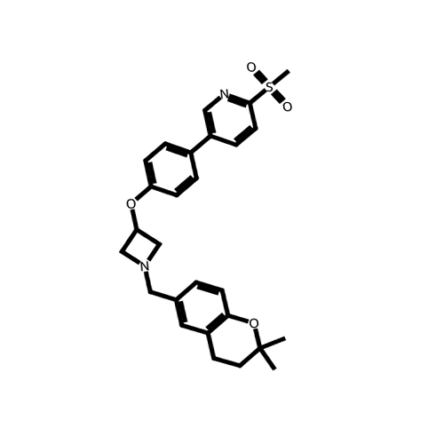 CC1(C)CCc2cc(CN3CC(Oc4ccc(-c5ccc(S(C)(=O)=O)nc5)cc4)C3)ccc2O1